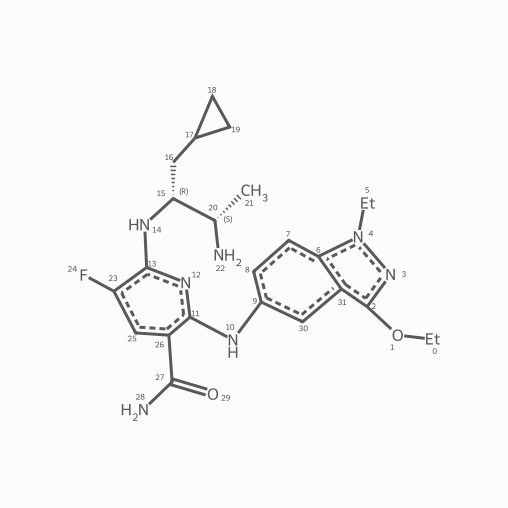 CCOc1nn(CC)c2ccc(Nc3nc(N[C@H](CC4CC4)[C@H](C)N)c(F)cc3C(N)=O)cc12